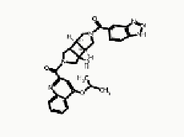 CC(C)Oc1cc(C(=O)N2CC3[C@H]4CN(C(=O)c5ccc6[nH]nnc6c5)C[C@H]4C3(O)C2)nc2ccccc12